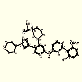 COc1cccc(F)c1-c1nccc(Nc2cc(N3CCC[C@H](C(N)=O)C3)c(-c3cnn(C4CCOCC4)c3)cn2)n1